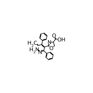 C=C/C(=C(C1=NC(C(=O)O)CO1)\C(=N/N)c1ccccc1)c1ccccc1